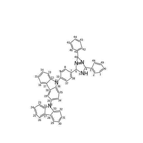 c1ccc(C2NC(c3ccc(-n4c5ccccc5c5cc(-n6c7ccccc7c7ccccc76)ccc54)cc3)N3C(c4ccccc4)N23)cc1